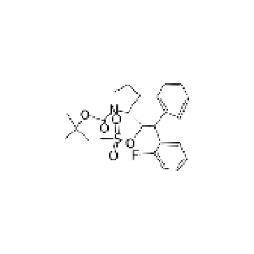 CC(C)(C)OC(=O)N1CCC[C@@H]1C(OS(C)(=O)=O)C(c1ccccc1)c1ccccc1F